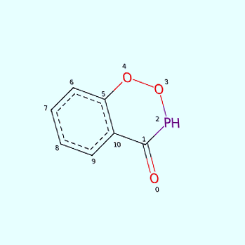 O=C1POOc2ccccc21